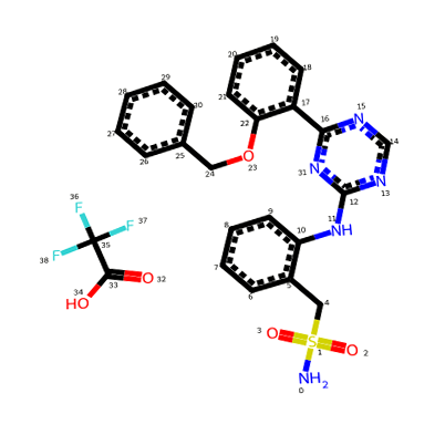 NS(=O)(=O)Cc1ccccc1Nc1ncnc(-c2ccccc2OCc2ccccc2)n1.O=C(O)C(F)(F)F